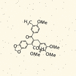 COc1ccc(C(=O)/C(Cc2cc(OC)c(OC)c(OC)c2)=C(/C(=O)O)c2ccc3c(c2)OCO3)cc1C